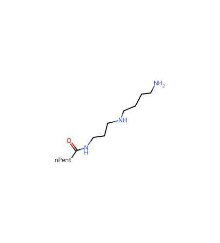 CCCCCC(=O)NCCCNCCCCN